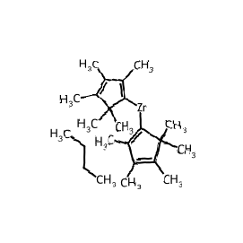 CC1=C(C)C(C)(C)[C]([Zr][C]2=C(C)C(C)=C(C)C2(C)C)=C1C.CCCC